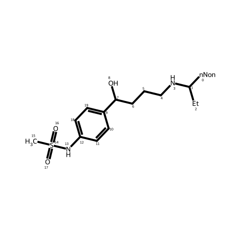 CCCCCCCCCC(CC)NCCCC(O)c1ccc(NS(C)(=O)=O)cc1